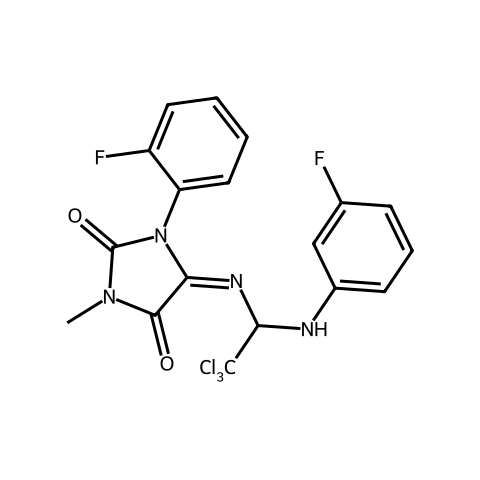 CN1C(=O)C(=NC(Nc2cccc(F)c2)C(Cl)(Cl)Cl)N(c2ccccc2F)C1=O